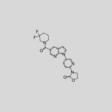 O=C(c1cnc2c(ccn2-c2ccc(N3CCOC3=O)nc2)c1)N1CCCC(F)(F)C1